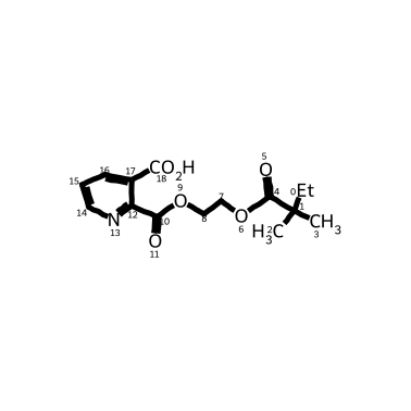 CCC(C)(C)C(=O)OCCOC(=O)c1ncccc1C(=O)O